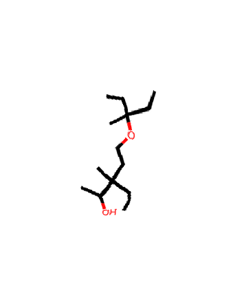 CCC(C)(CC)OCCC(C)(CC)C(C)O